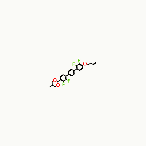 C=CCCOc1ccc(-c2ccc(-c3ccc(C4OCC(C)CO4)c(F)c3F)cc2)c(F)c1F